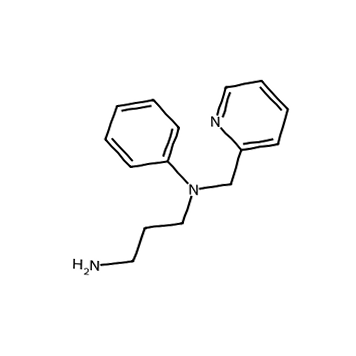 NCCCN(Cc1ccccn1)c1ccccc1